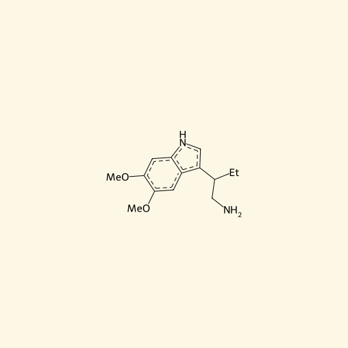 CCC(CN)c1c[nH]c2cc(OC)c(OC)cc12